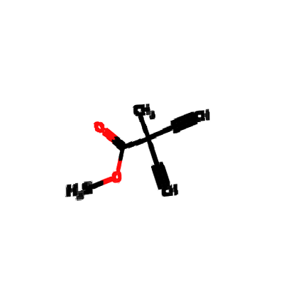 C#CC(C)(C#C)C(=O)O[SiH3]